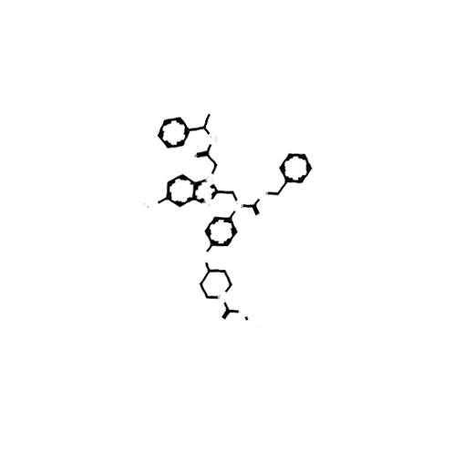 CC(NC(=O)Cn1c(CN(C(=O)OCc2ccccc2)c2ccc(OC3CCN(C(=O)OC(C)(C)C)CC3)cc2)nc2cc(C#N)ccc21)c1ccccc1